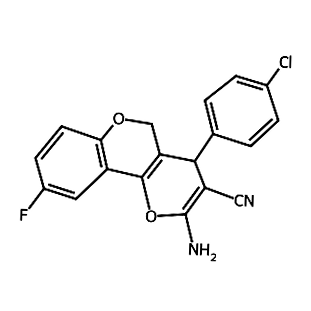 N#CC1=C(N)OC2=C(COc3ccc(F)cc32)C1c1ccc(Cl)cc1